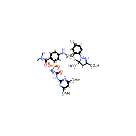 CC1(C(=O)O)CC(C(=O)O)=NN1c1ccc(Cl)cc1Cl.COc1cc(OC)nc(NC(=O)NS(=O)(=O)c2cc(NC=O)ccc2C(=O)N(C)C)n1